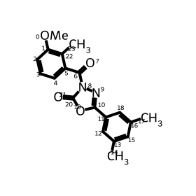 COc1cccc(C(=O)n2nc(-c3cc(C)cc(C)c3)oc2=O)c1C